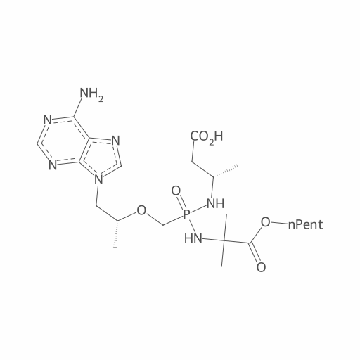 CCCCCOC(=O)C(C)(C)NP(=O)(CO[C@H](C)Cn1cnc2c(N)ncnc21)N[C@@H](C)CC(=O)O